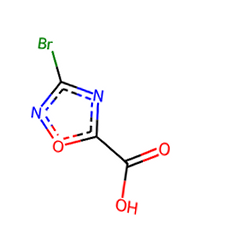 O=C(O)c1nc(Br)no1